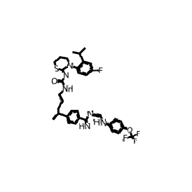 CC(C)c1cc(F)ccc1N1CCCS/C1=N\C(=O)NCCCC(C)c1ccc(C(=N)/N=C\Nc2ccc(OC(F)(F)F)cc2)cc1